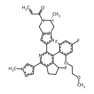 C=CC(=O)N1Cc2cc(-c3nc(-c4cnn(C)c4)c4c(c3-c3c(F)cc(F)cc3OCCOC)C(F)CC4)nn2C[C@H]1C